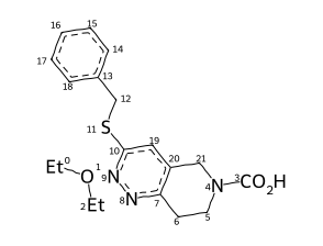 CCOCC.O=C(O)N1CCc2nnc(SCc3ccccc3)cc2C1